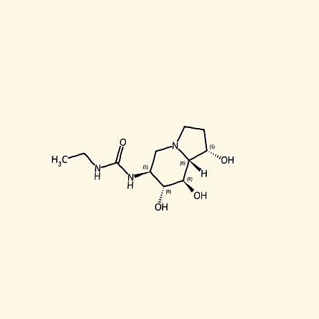 CCNC(=O)N[C@H]1CN2CC[C@H](O)[C@@H]2[C@@H](O)[C@@H]1O